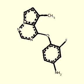 Cc1ccn2ncnc(Oc3ccc(N)cc3F)c12